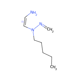 C=NN(/C=C\N)CCCCC